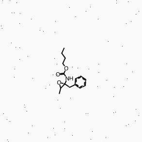 CCCCOC(=O)NC1(Cc2ccccc2)OC1C